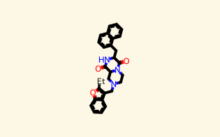 CCc1oc2ccccc2c1CN1CCN2C(=O)C(Cc3cccc4ccccc34)NC(=O)C2C1